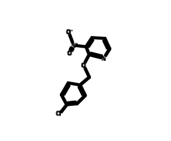 O=[N+]([O-])c1cccnc1OCc1ccc(Cl)cc1